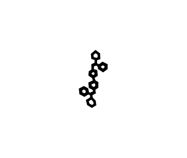 C(=C(/c1ccccc1)C1CCCCC1)/c1ccc(-c2ccc(/C=C(\c3ccccc3)C3CCCCC3)cc2)cc1